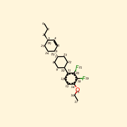 CCC[C@H]1C=C[C@H](C2CCC(c3ccc(OCC)c(F)c3F)CC2)CC1